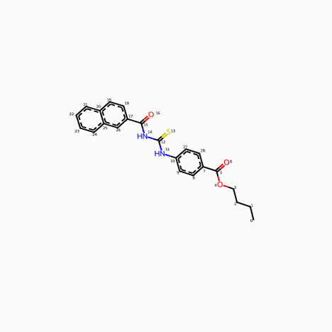 CCCCOC(=O)c1ccc(NC(=S)NC(=O)c2ccc3ccccc3c2)cc1